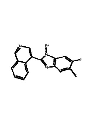 CCn1c(-c2cncc3ccccc23)nc2cc(F)c(F)cc21